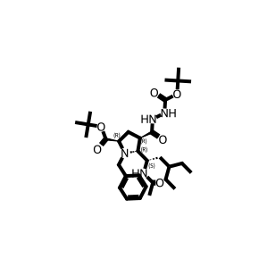 CCC(CC)C[C@H](NC(C)=O)[C@H]1[C@H](C(=O)NNC(=O)OC(C)(C)C)C[C@H](C(=O)OC(C)(C)C)N1Cc1ccccc1